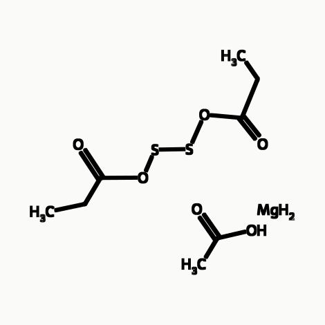 CC(=O)O.CCC(=O)OSSOC(=O)CC.[MgH2]